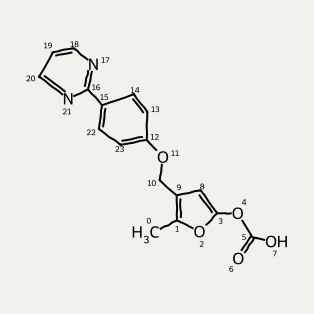 Cc1oc(OC(=O)O)cc1COc1ccc(-c2ncccn2)cc1